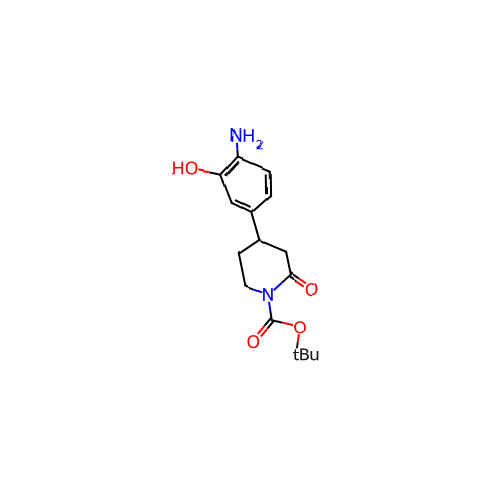 CC(C)(C)OC(=O)N1CCC(c2ccc(N)c(O)c2)CC1=O